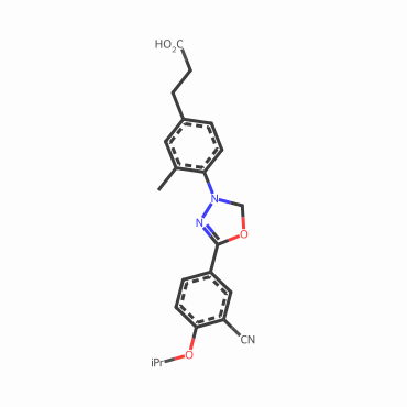 Cc1cc(CCC(=O)O)ccc1N1COC(c2ccc(OC(C)C)c(C#N)c2)=N1